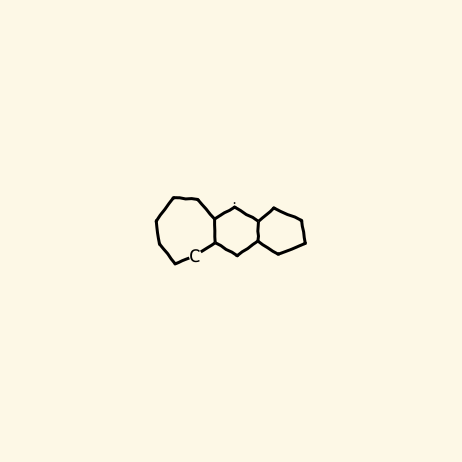 [CH]1C2CCCCCCC2CC2CCCCC12